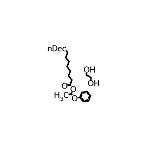 CCCCCCCCCCCCCCCCCC(=O)OC(C)Oc1ccccc1.OCCO